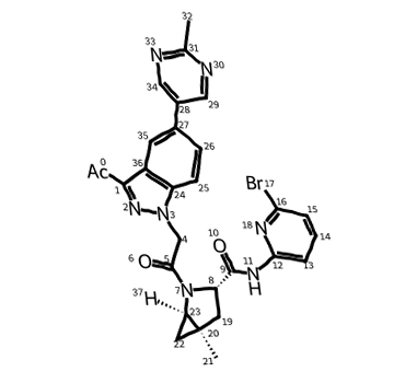 CC(=O)c1nn(CC(=O)N2[C@H](C(=O)Nc3cccc(Br)n3)C[C@@]3(C)C[C@@H]23)c2ccc(-c3cnc(C)nc3)cc12